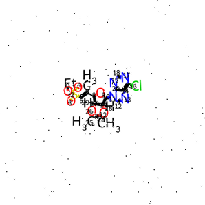 CCOS(=O)(=O)/C=C(\C)[C@H]1OC(n2cnc3c(Cl)ncnc32)[C@@H]2OC(C)(C)O[C@H]12